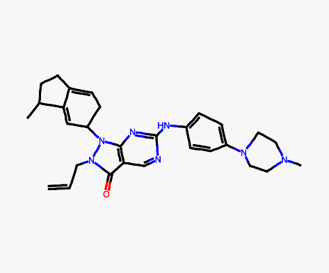 C=CCn1c(=O)c2cnc(Nc3ccc(N4CCN(C)CC4)cc3)nc2n1C1C=C2C(=CC1)CCC2C